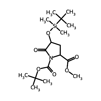 COC(=O)C1CC(O[Si](C)(C)C(C)(C)C)C(=O)N1C(=O)OC(C)(C)C